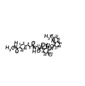 CNC(=O)c1ccc(/C=C/C(=O)NCC(=O)N(C)c2ccc(Cl)c(COc3cccc4ccc(C)nc34)c2Cl)cc1